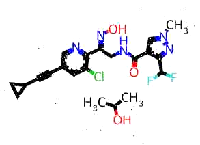 CC(C)O.Cn1cc(C(=O)NCC(=NO)c2ncc(C#CC3CC3)cc2Cl)c(C(F)F)n1